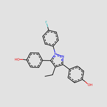 CCc1c(-c2ccc(O)cc2)nn(-c2ccc(F)cc2)c1-c1ccc(O)cc1